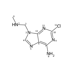 CNCn1cnc2c(N)nc(Cl)nc21